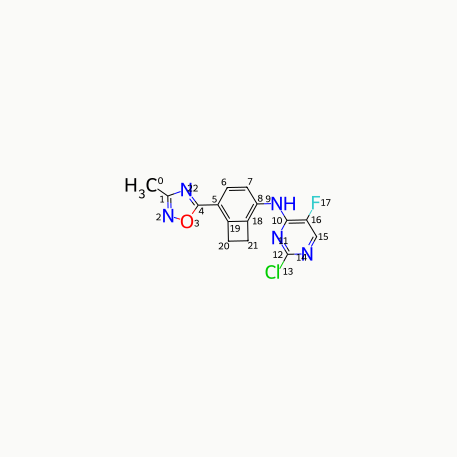 Cc1noc(-c2ccc(Nc3nc(Cl)ncc3F)c3c2CC3)n1